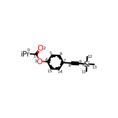 CC(C)C(=O)Oc1ccc(C#C[Si](C)(C)C)cc1